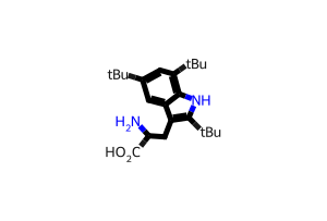 CC(C)(C)c1cc(C(C)(C)C)c2[nH]c(C(C)(C)C)c(CC(N)C(=O)O)c2c1